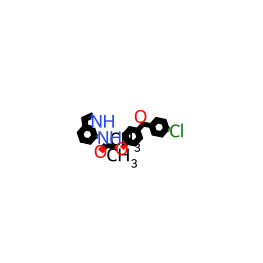 CC(C)(Oc1ccc(C(=O)c2ccc(Cl)cc2)cc1)C(=O)Nc1cccc2cc[nH]c12